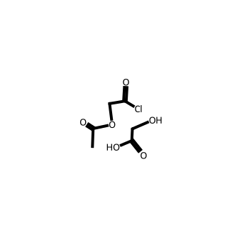 CC(=O)OCC(=O)Cl.O=C(O)CO